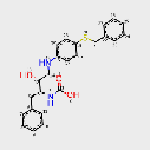 O=C(O)N[C@@H](Cc1ccccc1)[C@H](O)CNc1ccc(SCc2ccccc2)cc1